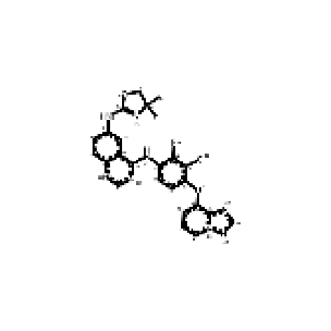 CC1(C)COC(Nc2ccc3ncnc(Nc4ccc(Oc5cccn6ncnc56)c(Cl)c4F)c3c2)=N1